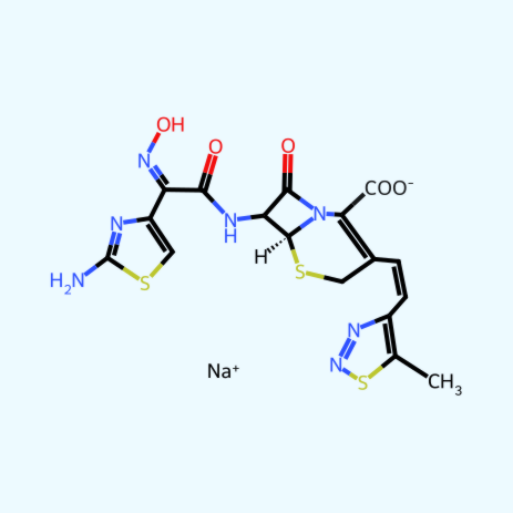 Cc1snnc1/C=C\C1=C(C(=O)[O-])N2C(=O)C(NC(=O)/C(=N\O)c3csc(N)n3)[C@@H]2SC1.[Na+]